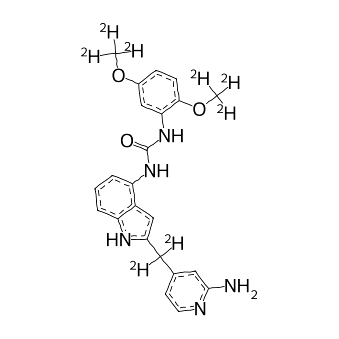 [2H]C([2H])([2H])Oc1ccc(OC([2H])([2H])[2H])c(NC(=O)Nc2cccc3[nH]c(C([2H])([2H])c4ccnc(N)c4)cc23)c1